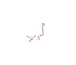 CC1=CCC(C(C)/C=C(C)/C=C/C=C\C(=O)NC(C(=O)N/C=C\CC(C/C=C(\C)Cl)OC(=O)NC(C)C)C(C)C)OC1=O